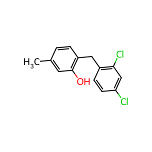 Cc1ccc(Cc2ccc(Cl)cc2Cl)c(O)c1